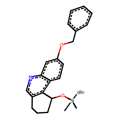 CC(C)(C)[Si](C)(C)OC1CCCc2cnc3cc(OCc4ccccc4)ccc3c21